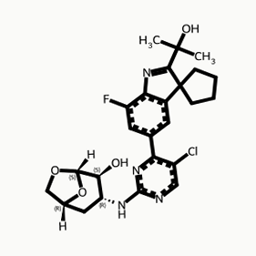 CC(C)(O)C1=Nc2c(F)cc(-c3nc(N[C@@H]4C[C@@H]5CO[C@@H](O5)[C@H]4O)ncc3Cl)cc2C12CCCC2